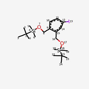 CC(C)(C)[Si](C)(C)OCc1ccc(I)cc1CO[Si](C)(C)C(C)(C)C